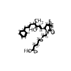 C[C@@H](CCCc1ccccc1)[C@H](O)C=C[C@H]1CC(F)(F)C(=O)N1CCSCCCC(=O)O